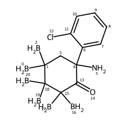 BC1(B)CC(N)(c2ccccc2Cl)C(=O)C(B)(B)C1(B)B